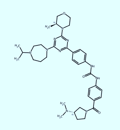 CC(C)N1CCCN(c2nc(-c3ccc(NC(=O)Nc4ccc(C(=O)N5CC[C@H](N(C)C)C5)cc4)cc3)nc(N3CCOC[C@@H]3C)n2)CC1